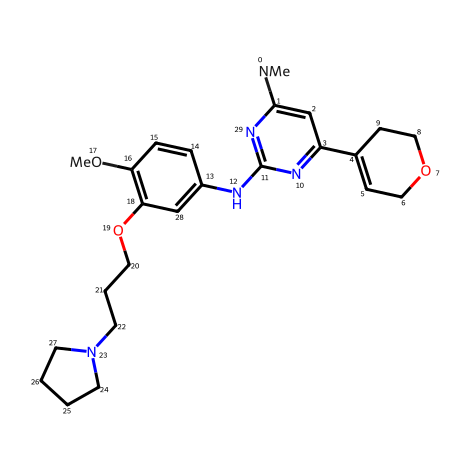 CNc1cc(C2=CCOCC2)nc(Nc2ccc(OC)c(OCCCN3CCCC3)c2)n1